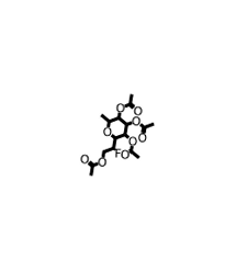 CC(=O)OC[C@H](F)C1OC(C)C(OC(C)=O)C(OC(C)=O)C1OC(C)=O